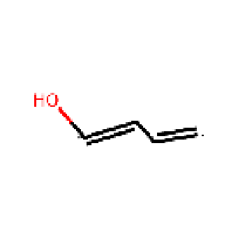 [CH]=CC=[C]O